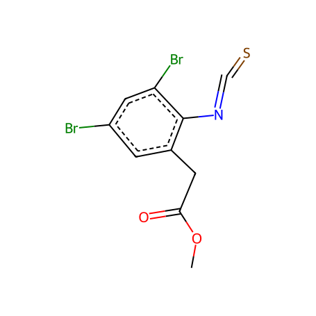 COC(=O)Cc1cc(Br)cc(Br)c1N=C=S